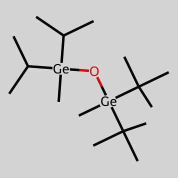 C[CH](C)[Ge]([CH3])([O][Ge]([CH3])([C](C)(C)C)[C](C)(C)C)[CH](C)C